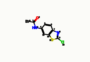 CCC(=O)Nc1ccc2nc(Cl)sc2c1